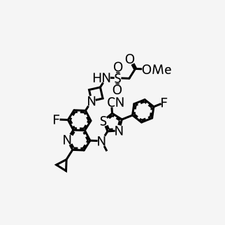 COC(=O)CS(=O)(=O)NC1CN(c2cc(F)c3nc(C4CC4)cc(N(C)c4nc(-c5ccc(F)cc5)c(C#N)s4)c3c2)C1